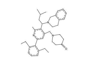 CCc1cccc(CC)c1-c1cc(CN2CCC(=O)CC2)c(C(CC(C)C)N2CCc3ccccc3C2)c(C)n1